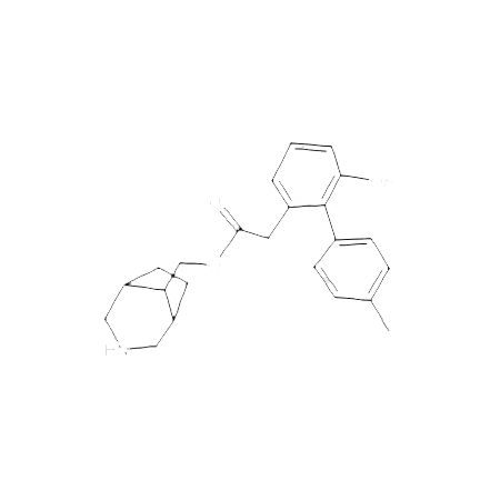 Cc1ccc(-c2c(O)cccc2CC(=O)OCC2C3CCC2CNC3)cc1